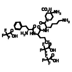 NCCCC[C@@H](NC(=O)C(CCC(F)(F)F)NC(=O)[C@H](N)Cc1ccccc1)C(=O)N1CCC(N)(C(=O)O)CC1.O=C(O)C(F)(F)F.O=C(O)C(F)(F)F.O=C(O)C(F)(F)F